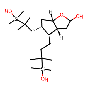 CC(C)(CC[C@H]1[C@H](CC(C)(C)[Si](C)(C)O)C[C@@H]2OC(O)C[C@H]12)[Si](C)(C)O